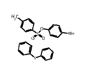 Cc1ccc(S(=O)(=O)Oc2ccc(C(C)(C)C)cc2)cc1.c1ccc(Sc2ccccc2)cc1